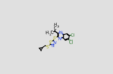 CC(C)c1nc2cc(Cl)c(Cl)cc2nc1Sc1nnc(SCC2CC2)s1